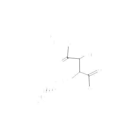 O.O.O.O.O.O=C([O-])C(O)C(O)C(=O)[O-].[K+].[K+]